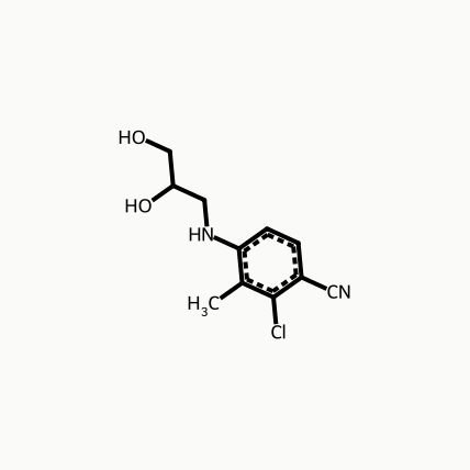 Cc1c(NCC(O)CO)ccc(C#N)c1Cl